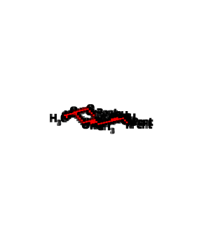 CCCCCC(CCCCC)CCOC(=O)CCCCCCCCCC(CCCCCCCCCC(=O)OCCC(CCCCC)CC(CCC)C(CC)CCC(CCCCC)CCOC(C)OCCCCCCCC(CCCCCCCOC(C)OCCC(CCCCC)CCCCC)OC(C)OCCN(C)C)C(=O)OCCCN1CCN(C)CC1